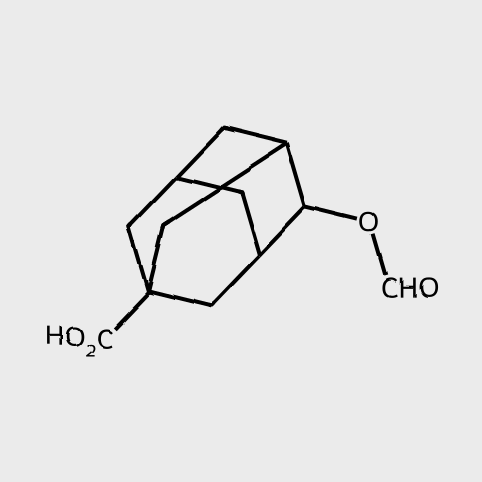 O=COC1C2CC3CC1CC(C(=O)O)(C3)C2